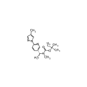 Cc1cnn(-c2ccc([C@H](C)N(C)C(=O)OC(C)(C)C)cn2)c1